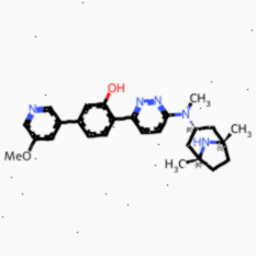 COc1cncc(-c2ccc(-c3ccc(N(C)[C@@H]4C[C@]5(C)CC[C@](C)(C4)N5)nn3)c(O)c2)c1